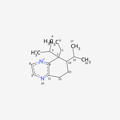 CCC1(C(C)C)c2nccnc2CCC1C(C)C